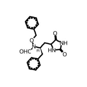 O=CN(OCc1ccccc1)[C@H](Cc1ccccc1)CC1NC(=O)NC1=O